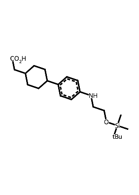 CC(C)(C)[Si](C)(C)OCCNc1ccc(C2CCC(CC(=O)O)CC2)cc1